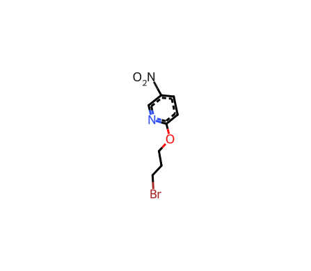 O=[N+]([O-])c1ccc(OCCCBr)nc1